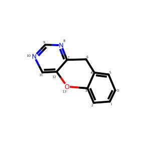 c1ccc2c(c1)Cc1ncncc1O2